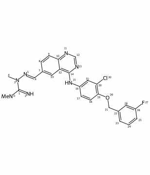 CNC(=N)N(C)/N=C/c1ccc2ncnc(Nc3ccc(OCc4cccc(F)c4)c(Cl)c3)c2c1